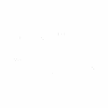 COc1ccc(C2(CCCN(C)CC(=O)O)OCc3cc(C#N)ccc32)cc1.Cl